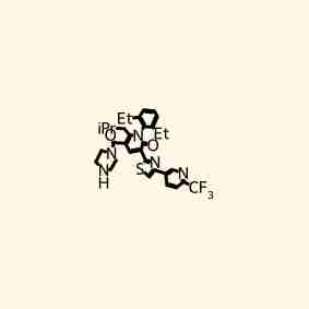 CCc1cccc(CC)c1-n1c(CC(C)C)c(C(=O)N2CCNCC2)cc(-c2nc(-c3ccc(C(F)(F)F)nc3)cs2)c1=O